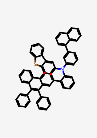 c1ccc(-c2c(-c3ccccc3)c3cc(-c4ccccc4N(c4cccc(-c5cccc6ccccc56)c4)c4ccc5sc6ccccc6c5c4)ccc3c3ccccc23)cc1